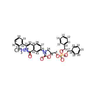 O=C1O[C@H](COP(=O)(OCc2ccccc2)OCc2ccccc2)CN1c1ccc2cc(-c3ccccc3C(F)(F)F)[nH]c(=O)c2c1